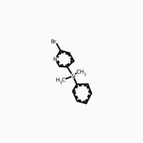 C[Si](C)(c1ccccc1)c1ccc(Br)nc1